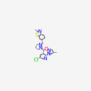 Cc1cnn(-c2ncc(Cl)cc2C(=O)N2CCCN2Cc2ccc3nc(C)sc3c2)c1